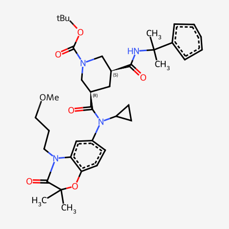 COCCCN1C(=O)C(C)(C)Oc2ccc(N(C(=O)[C@@H]3C[C@H](C(=O)NC(C)(C)c4ccccc4)CN(C(=O)OC(C)(C)C)C3)C3CC3)cc21